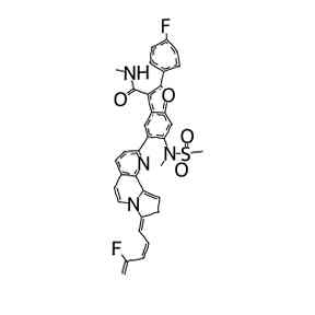 C=C(F)/C=C\C=C1/CC=C2c3nc(-c4cc5c(C(=O)NC)c(-c6ccc(F)cc6)oc5cc4N(C)S(C)(=O)=O)ccc3C=CN21